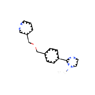 CNn1ccnc1-c1ccc(COCc2cccnc2)cc1